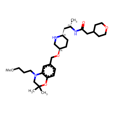 COCCCN1CC(C)(C)Oc2ccc(CO[C@@H]3CC[C@@H](C[C@H](C)NC(=O)CC4CCOCC4)NC3)cc21